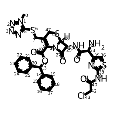 Cn1nnnc1SCC1=C(C(=O)OC(c2ccccc2)c2ccccc2)N2C(=O)[C@@H](NC(=O)C(N)c3csc(NC(=O)CCl)n3)[C@@H]2SC1